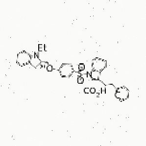 CCN1c2ccccc2C[C@@H]1COc1ccc(S(=O)(=O)n2cc(C(Cc3ccccc3)C(=O)O)c3ccccc32)cc1